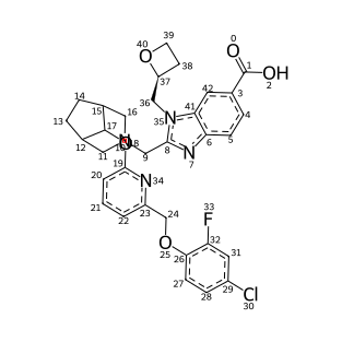 O=C(O)c1ccc2nc(CN3CC4CCC(C3)C4Oc3cccc(COc4ccc(Cl)cc4F)n3)n(C[C@@H]3CCO3)c2c1